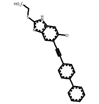 O=C(O)CSc1nc2cc(C#Cc3ccc(-c4ccccc4)cc3)c(Cl)cc2[nH]1